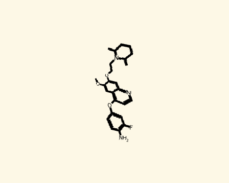 COc1cc2c(Oc3ccc(N)c(F)c3)ccnc2cc1OCCN1C(C)CCCC1C